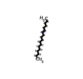 CCCCC/C=C/C[CH]CCCCCCCCC